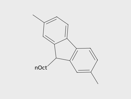 CCCCCCCCC1c2cc(C)ccc2-c2ccc(C)cc21